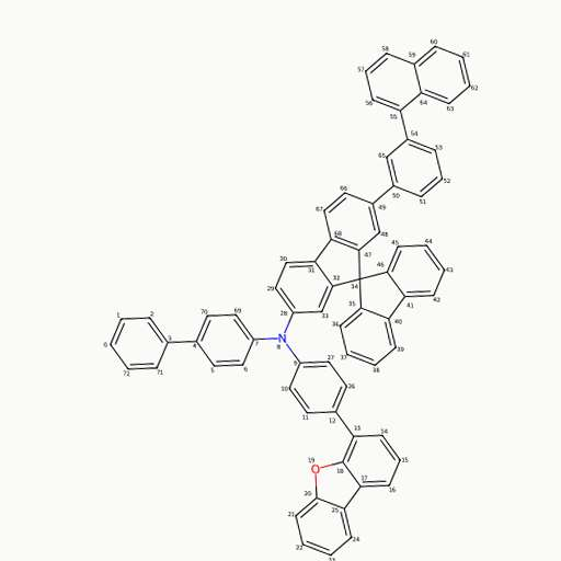 c1ccc(-c2ccc(N(c3ccc(-c4cccc5c4oc4ccccc45)cc3)c3ccc4c(c3)C3(c5ccccc5-c5ccccc53)c3cc(-c5cccc(-c6cccc7ccccc67)c5)ccc3-4)cc2)cc1